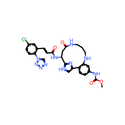 COC(=O)Nc1ccc2c(c1)NCCCNC(=O)C[C@H](NC(=O)/C=C/c1cc(Cl)ccc1-n1cnnn1)c1nc-2c[nH]1